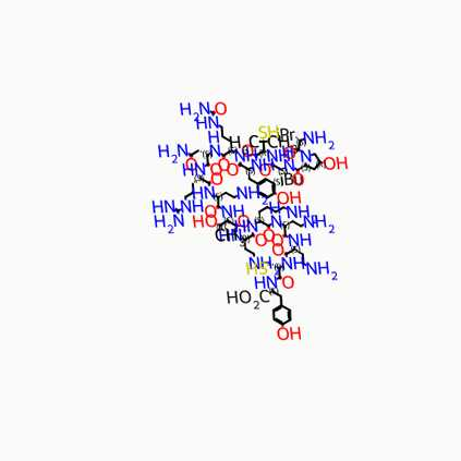 CC[C@H](C)[C@H](NC(=O)[C@@H]1C[C@@H](O)CN1C(=O)[C@@H](N)C(C)C)C(=O)N[C@H](C(=O)N[C@@H](Cc1ccc(O)cc1)C(=O)N[C@@H](CCCNC(N)=O)C(=O)N[C@@H](CC(N)=O)C(=O)N[C@@H](CCCNC(=N)N)C(=O)N[C@@H](CCN)C(=O)N[C@H](C(=O)N[C@H](CCN)C(=O)N[C@@H](CCCCN)C(=O)N[C@@H](CCN)C(=O)N[C@@H](CCN)C(=O)N[C@@H](CS)C(=O)N[C@@H](Cc1ccc(O)cc1)C(=O)O)[C@@H](C)O)C(C)(C)S